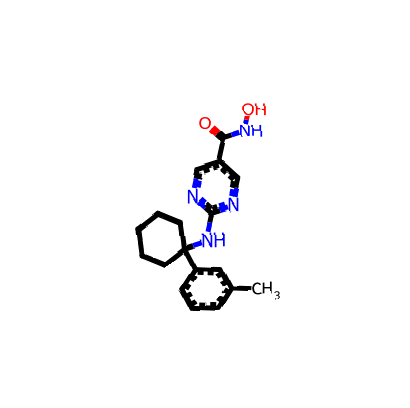 Cc1cccc(C2(Nc3ncc(C(=O)NO)cn3)CCCCC2)c1